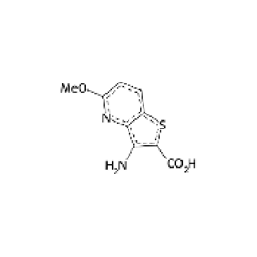 COc1ccc2sc(C(=O)O)c(N)c2n1